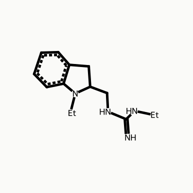 CCNC(=N)NCC1Cc2ccccc2N1CC